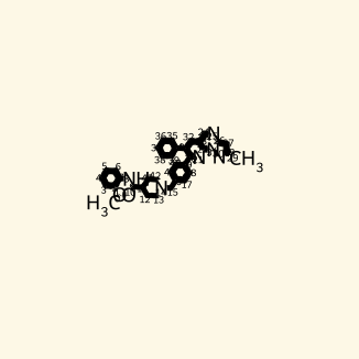 COc1ccccc1NC(=O)C1CCN(Cc2ccc(-c3nc4c(cnc5cc(C)nn54)cc3-c3ccccc3)cc2)CC1